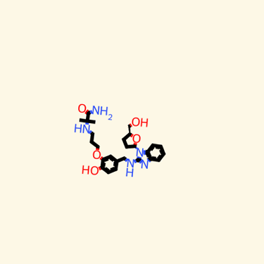 CC(C)(NCCCOc1cc(CNc2nc3ccccc3n2[C@H]2CC[C@@H](CO)O2)ccc1O)C(N)=O